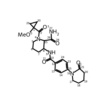 COC1(C(=O)N2CC[CH]C(NC(=O)c3ccc(N4CCCCC4=O)cc3)C2C(N)=O)CC1